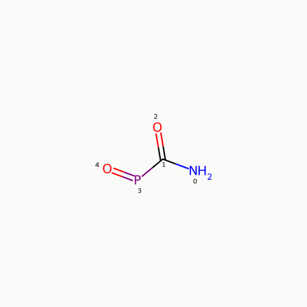 NC(=O)P=O